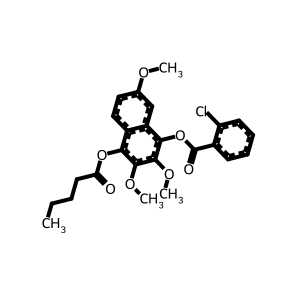 CCCCC(=O)Oc1c(OC)c(OC)c(OC(=O)c2ccccc2Cl)c2cc(OC)ccc12